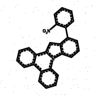 O=[N+]([O-])c1ccccc1-c1cccc2c1cc1c3ccccc3c3ccccc3n21